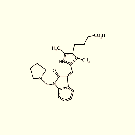 Cc1[nH]c(C=C2C(=O)N(CN3CCCC3)c3ccccc32)c(C)c1CCCC(=O)O